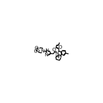 Cc1ccc(C(NC(=O)Cc2cnc(N3CCS(=O)(=O)CC3)nc2)c2ccc(C)o2)c(N2CCCCC2)c1